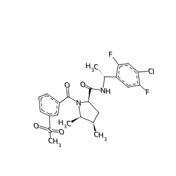 C[C@@H]1C[C@H](C(=O)N[C@H](C)c2cc(F)c(Cl)cc2F)N(C(=O)c2cccc(S(C)(=O)=O)c2)[C@@H]1C